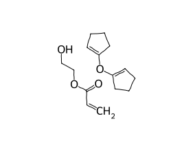 C1=C(OC2=CCCC2)CCC1.C=CC(=O)OCCO